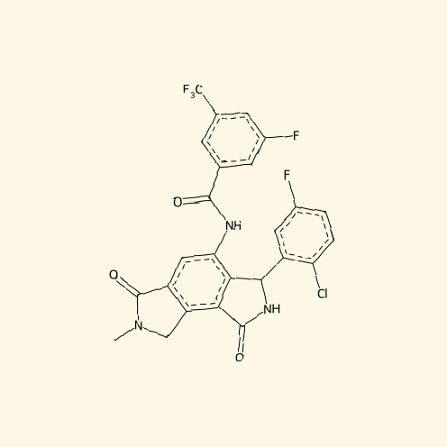 CN1Cc2c(cc(NC(=O)c3cc(F)cc(C(F)(F)F)c3)c3c2C(=O)NC3c2cc(F)ccc2Cl)C1=O